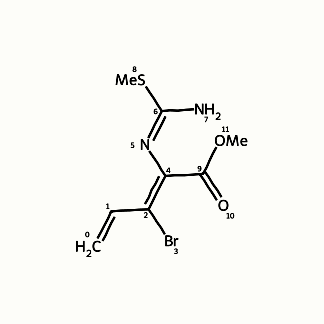 C=C/C(Br)=C(\N=C(/N)SC)C(=O)OC